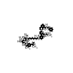 Cc1ncsc1-c1ccc([C@H](C)NC(=O)[C@@H]2C[C@@H](O)CN2C(=O)[C@@H](NC(=O)CCCCCCCOc2cccc(-c3ccc(N4CCc5cccc(C(=O)Nc6nc7ccccc7s6)c5C4)nc3C(=O)OC(C)(C)C)c2C)C(C)(C)C)cc1